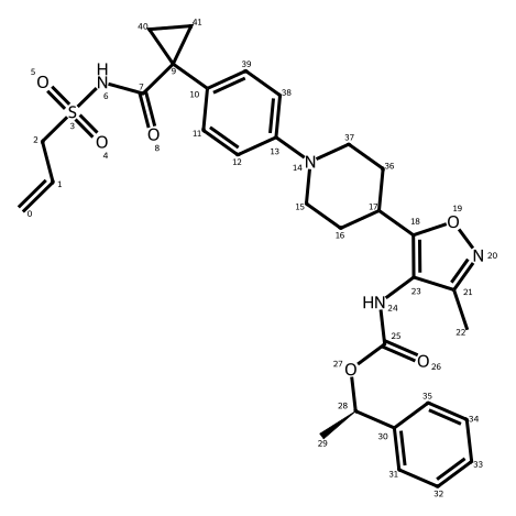 C=CCS(=O)(=O)NC(=O)C1(c2ccc(N3CCC(c4onc(C)c4NC(=O)O[C@H](C)c4ccccc4)CC3)cc2)CC1